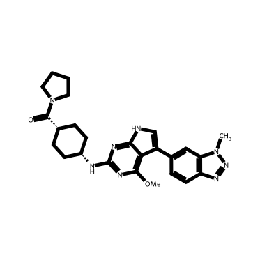 COc1nc(N[C@H]2CC[C@@H](C(=O)N3CCCC3)CC2)nc2[nH]cc(-c3ccc4nnn(C)c4c3)c12